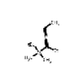 CC=C=C(CC)[Si](C)(C)C(C)(C)C